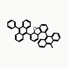 Cc1c2ccccc2c(-c2cccc3c2C2C=CC=C(c4c5ccccc5c(-c5ccccc5)c5ccccc45)C2O3)c2ccccc12